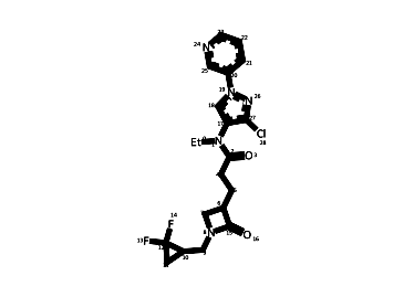 CCN(C(=O)CCC1CN(CC2CC2(F)F)C1=O)c1cn(-c2cccnc2)nc1Cl